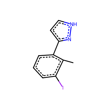 Cc1c(I)cccc1-c1cc[nH]n1